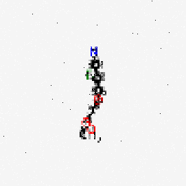 C=CC(=O)OCCCCCCOc1ccc(-c2ccc(-c3ccc(C#N)cc3)c(F)c2)cc1